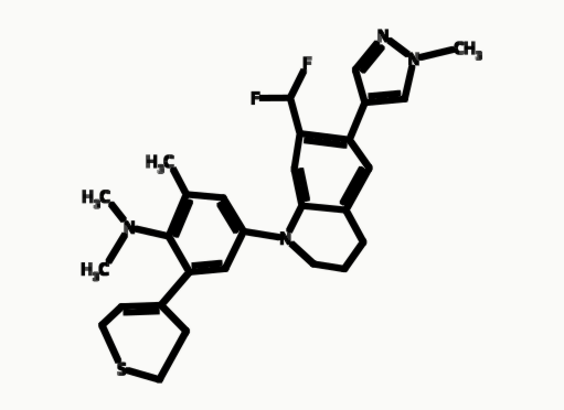 Cc1cc(N2CCCc3cc(-c4cnn(C)c4)c(C(F)F)cc32)cc(C2=CCSCC2)c1N(C)C